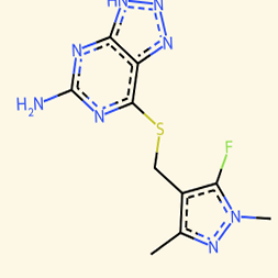 Cc1nn(C)c(F)c1CSc1nc(N)nc2[nH]nnc12